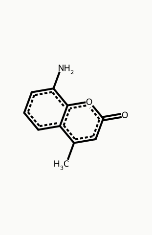 Cc1cc(=O)oc2c(N)cccc12